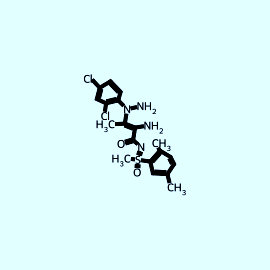 C/C(=C(/N)C(=O)N=S(C)(=O)c1cc(C)ccc1C)N(N)c1ccc(Cl)cc1Cl